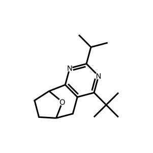 CC(C)c1nc2c(c(C(C)(C)C)n1)CC1CCC2O1